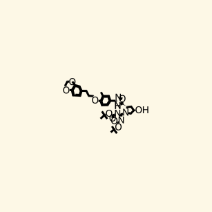 Cc1cc(-c2noc([C@@H]3C[C@@H](O)CN3/C(=N/C(=O)OC(C)(C)C)NC(=O)OC(C)(C)C)n2)ccc1OCCCc1ccc2c(c1)OCCO2